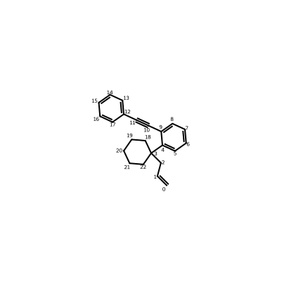 C=CCC1(c2ccccc2C#Cc2ccccc2)CCCCC1